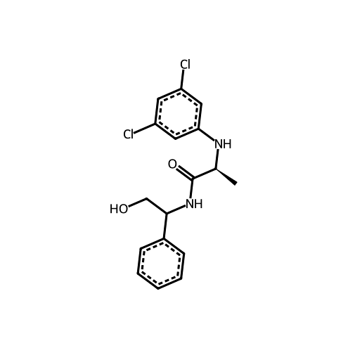 C[C@H](Nc1cc(Cl)cc(Cl)c1)C(=O)NC(CO)c1ccccc1